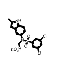 Cc1cc2cc(N(CC(=O)O)S(=O)(=O)c3cc(Cl)cc(Cl)c3)ccc2[nH]1